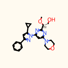 CO[C@H](CO)c1nc(N2CCOCC2)cc(-n2nc(-c3ccccc3)cc2C2CC2)n1